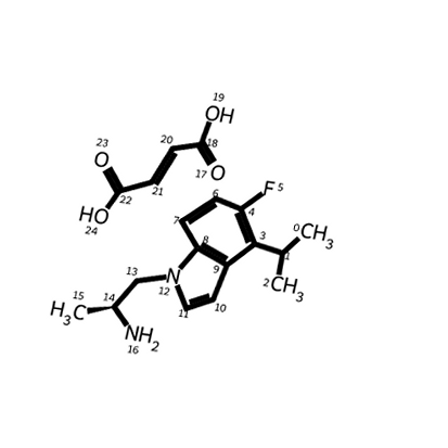 CC(C)c1c(F)ccc2c1ccn2C[C@H](C)N.O=C(O)C=CC(=O)O